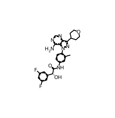 Cc1cc(NC(=O)[C@H](O)c2cc(F)cc(F)c2)ccc1-n1nc(C2CCOCC2)c2ncnc(N)c21